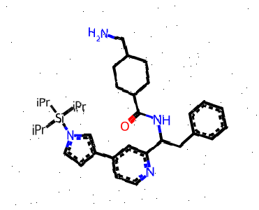 CC(C)[Si](C(C)C)(C(C)C)n1ccc(-c2ccnc(C(Cc3ccccc3)NC(=O)C3CCC(CN)CC3)c2)c1